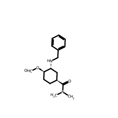 CN(C)C(=O)[C@H]1CC[C@@H](OC=O)[C@H](NCc2ccccc2)C1